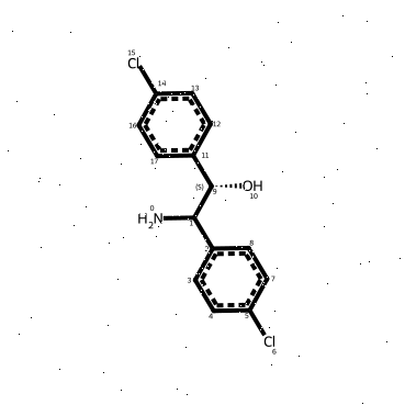 NC(c1ccc(Cl)cc1)[C@@H](O)c1ccc(Cl)cc1